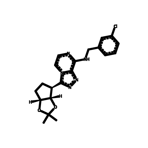 CC1(C)O[C@@H]2[C@@H](CC[C@H]2c2nnc3c(NCc4cccc(Cl)c4)nccn23)O1